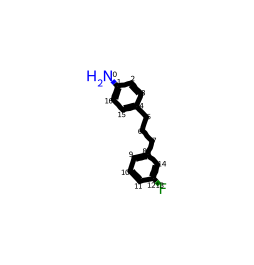 Nc1ccc(CCCc2cccc(F)c2)cc1